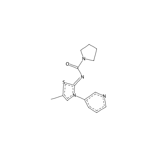 Cc1cn(-c2cccnc2)c(=NC(=O)N2CCCC2)s1